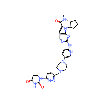 CN(C)C(=O)c1cc2cnc(Nc3ccc(N4CCN(Cc5ccc(N6CCC(=O)NC6=O)nn5)CC4)cn3)nc2n1C1CCCC1